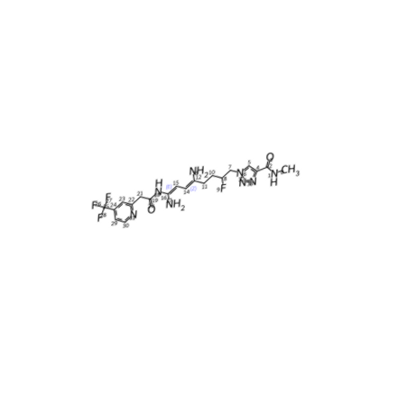 CNC(=O)c1cn(CC(F)CC/C(N)=C/C=C(\N)NC(=O)Cc2cc(C(F)(F)F)ccn2)nn1